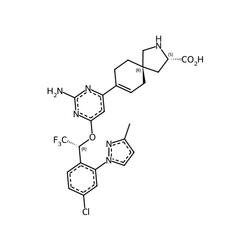 Cc1ccn(-c2cc(Cl)ccc2[C@@H](Oc2cc(C3=CC[C@@]4(CC3)CN[C@H](C(=O)O)C4)nc(N)n2)C(F)(F)F)n1